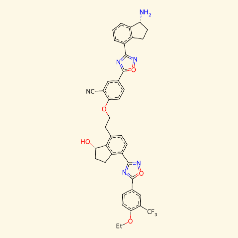 CCOc1ccc(-c2nc(-c3ccc(CCOc4ccc(-c5nc(-c6cccc7c6CC[C@H]7N)no5)cc4C#N)c4c3CC[C@@H]4O)no2)cc1C(F)(F)F